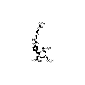 COC(=O)OCCOCCNC(=S)Nc1ccc(CC2CN(CC(=O)O)CCN(CC(=O)O)CCN2CC(O)O)cc1